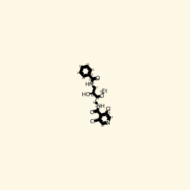 CCO[C@H](CNC(=O)c1c(Cl)cncc1Cl)[C@@H](O)CNC(=O)c1ccccc1